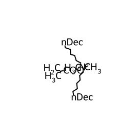 C=C(C)C(=O)[O-].CCCCCCCCCCCCCCCC[N+](C)(C)CCCCCCCCCCCCCCCC